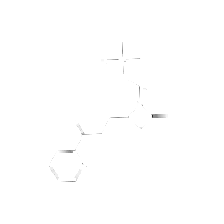 C[C@@H](O[Si](C)(C)C(C)(C)C)N1C(=O)CC1CCC(=S)c1ccccn1